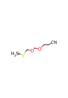 N#CCCOCOCS[SiH3]